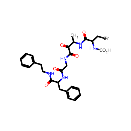 CC(C)CC(NC(=O)O)C(=O)NC(C)C(=O)C(=O)NCC(=O)NC(Cc1ccccc1)C(=O)NCCc1ccccc1